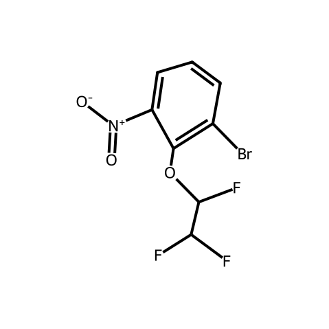 O=[N+]([O-])c1cccc(Br)c1OC(F)C(F)F